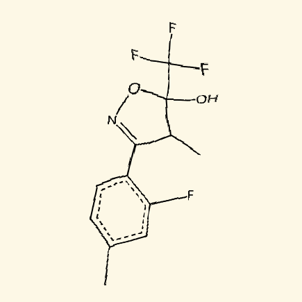 Cc1ccc(C2=NOC(O)(C(F)(F)F)C2C)c(F)c1